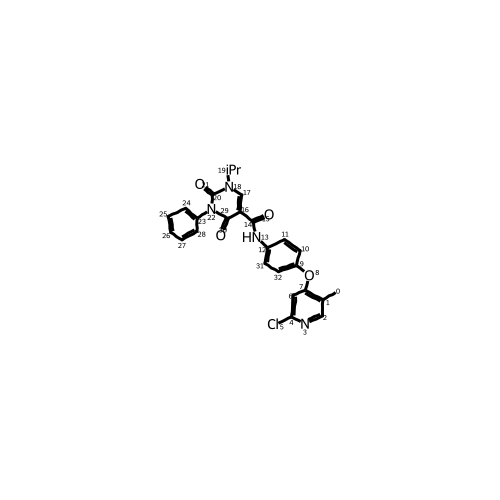 Cc1cnc(Cl)cc1Oc1ccc(NC(=O)c2cn(C(C)C)c(=O)n(-c3ccccc3)c2=O)cc1